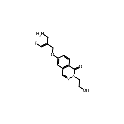 NCC(=CF)COc1ccc2c(=O)n(CCO)ncc2c1